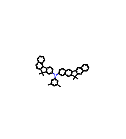 Cc1cc(C)cc(N(c2ccc3c(c2)C(C)(C)c2ccc4ccccc4c2-3)c2ccc3cc4c(cc3c2)C(C)(C)c2cc3ccccc3cc2-4)c1